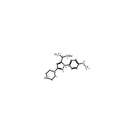 COC(C)c1cc(N2CCNCC2)nn1-c1ccc(OC(F)(F)F)cc1